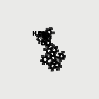 CC1(C)CCCC2(C)c3cc(-c4ccc5c6c(-c7ccccc7)c7c8cccc9cccc(c7c(-c7ccccc7)c6c6cccc4c65)c98)ccc3N(c3ccccc3)C12C